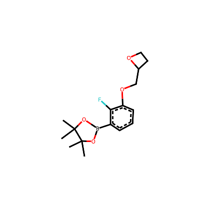 CC1(C)OB(c2cccc(OCC3CCO3)c2F)OC1(C)C